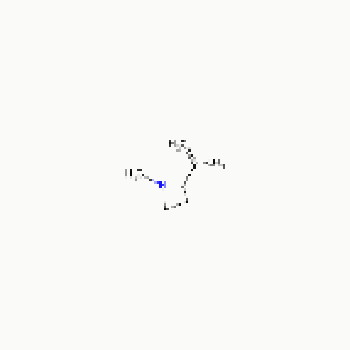 C=C(C)C1CCN1C